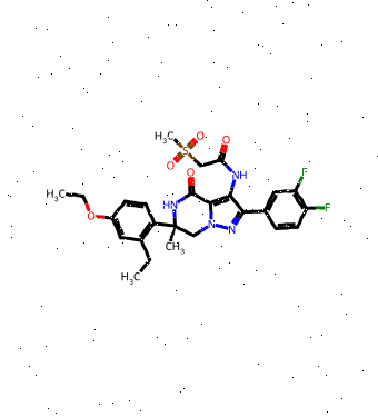 CCOc1ccc([C@@]2(C)Cn3nc(-c4ccc(F)c(F)c4)c(NC(=O)CS(C)(=O)=O)c3C(=O)N2)c(CC)c1